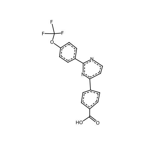 O=C(O)c1ccc(-c2ccnc(-c3ccc(OC(F)(F)F)cc3)n2)cc1